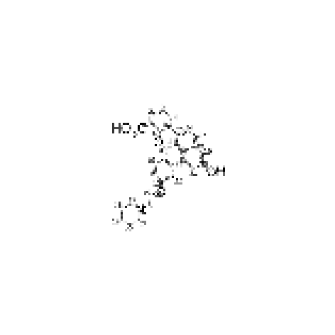 O=C(O)c1cccc2c1OC(c1ccc(OCCN3CCCCC3)cc1)c1c-2ccc2cc(O)ccc12